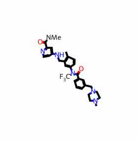 CNC(=O)c1cc(NCc2cc(N(C(=O)c3cccc(CN4CCN(C)CC4)c3)C(F)(F)F)ccc2C)ccn1